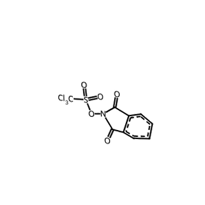 O=C1c2ccccc2C(=O)N1OS(=O)(=O)C(Cl)(Cl)Cl